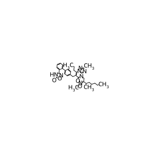 CCCCCC(C)/C(Cn1c(=O)c(Cc2ccc(-c3ccccc3-c3noc(=O)[nH]3)cc2)c(CCC)n2nc(C)nc12)=N\OC